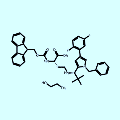 CC(C)(C)[C@@H](NCC[C@H](NC(=O)OCC1c2ccccc2-c2ccccc21)C(=O)O)c1cc(-c2cc(F)ccc2F)cn1Cc1ccccc1.OCCO